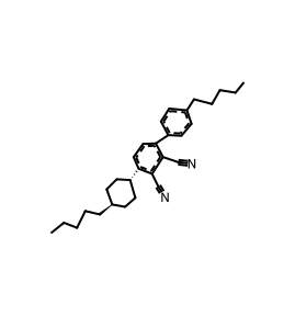 CCCCCc1ccc(-c2ccc([C@H]3CC[C@H](CCCCC)CC3)c(C#N)c2C#N)cc1